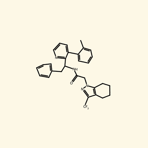 Cc1ccccc1-c1cccnc1C(Cc1ccccc1)NC(=O)Cn1nc(C(F)(F)F)c2c1CCCC2